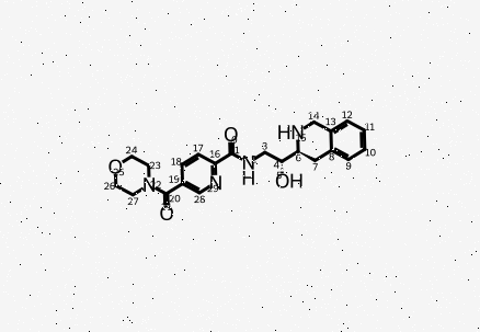 O=C(NC[C@@H](O)[C@@H]1Cc2ccccc2CN1)c1ccc(C(=O)N2CCOCC2)cn1